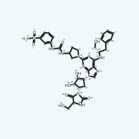 NS(=O)(=O)c1cccc(NC(=O)NC2CCN(c3nc(N[C@H](CO)Cc4ccccc4)c4ncn([C@@H]5C[C@H](N6C(=O)NC(CO)C6=O)[C@@H](O)[C@H]5O)c4n3)C2)c1